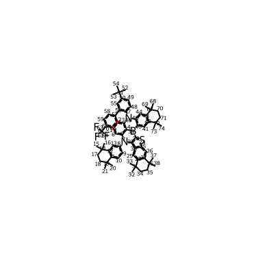 Cc1cc2c3c(c1)N(c1ccc4c(c1)C(C)(C)CCC4(C)C)c1c(sc4cc5c(cc14)C(C)(C)CCC5(C)C)B3c1cc3c(cc1N2c1ccc(C(C)(C)C)cc1-c1ccc(C(F)(F)F)cc1)C(C)(C)CCC3(C)C